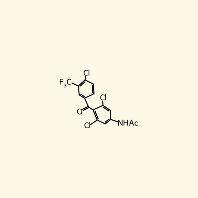 CC(=O)Nc1cc(Cl)c(C(=O)c2ccc(Cl)c(C(F)(F)F)c2)c(Cl)c1